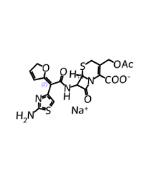 CC(=O)OCC1=C(C(=O)[O-])N2C(=O)C(NC(=O)/C(=C3/C=CCO3)c3csc(N)n3)[C@@H]2SC1.[Na+]